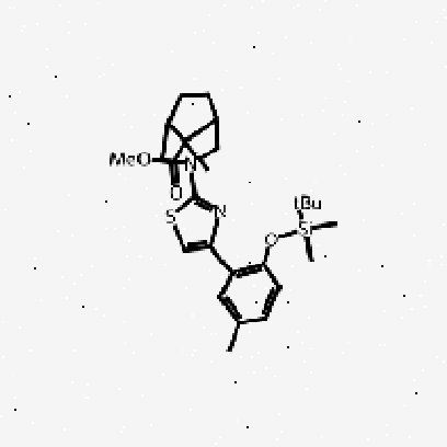 COC(=O)C1(C)C2CCC1CN(c1nc(-c3cc(C)ccc3O[Si](C)(C)C(C)(C)C)cs1)C2